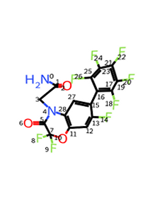 NC(=O)CN1C(=O)C(F)(F)Oc2cc(F)c(-c3c(F)c(F)c(F)c(F)c3F)cc21